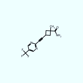 CC1(C(N)=O)CC(C#Cc2ncc(C(F)(F)F)cn2)C1